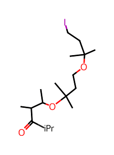 CC(C)C(=O)C(C)C(C)OC(C)(C)CCOC(C)(C)CCI